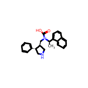 C[C@H](c1cccc2ccccc12)N(C[C@H]1CNC[C@@H]1c1ccccc1)C(=O)O